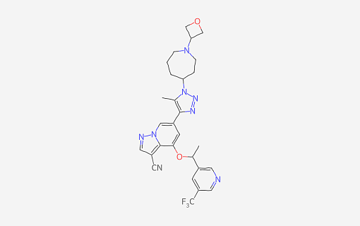 Cc1c(-c2cc(OC(C)c3cncc(C(F)(F)F)c3)c3c(C#N)cnn3c2)nnn1C1CCCN(C2COC2)CC1